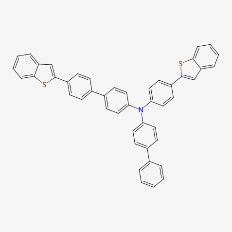 c1ccc(-c2ccc(N(c3ccc(-c4ccc(-c5cc6ccccc6s5)cc4)cc3)c3ccc(-c4cc5ccccc5s4)cc3)cc2)cc1